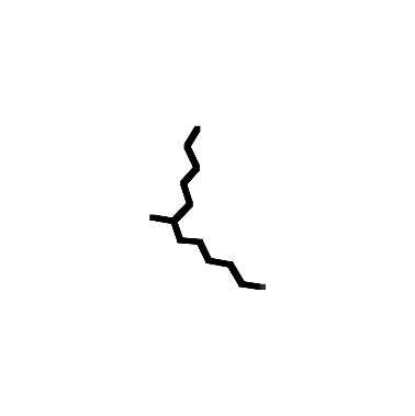 [CH2]CCCCCC(C)CCCCC